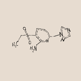 CCS(=O)(=O)c1ccc(-n2cncn2)nc1N